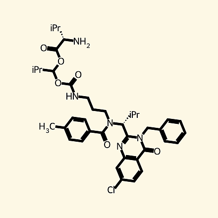 Cc1ccc(C(=O)N(CCCNC(=O)OC(OC(=O)[C@@H](N)C(C)C)C(C)C)[C@@H](c2nc3cc(Cl)ccc3c(=O)n2Cc2ccccc2)C(C)C)cc1